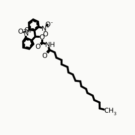 CCCCCCCCCCCCCCCCCC(=O)NC(=O)OC(c1ccccc1[N+](=O)[O-])c1ccccc1[N+](=O)[O-]